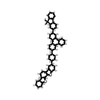 CC1(C)c2ccccc2-c2ccc(-c3ccc4c5ccc(-c6ccc(-c7ccc8oc9c(ccc%10c%11ccccc%11oc%109)c8c7)cc6)cc5c5ccccc5c4c3)cc21